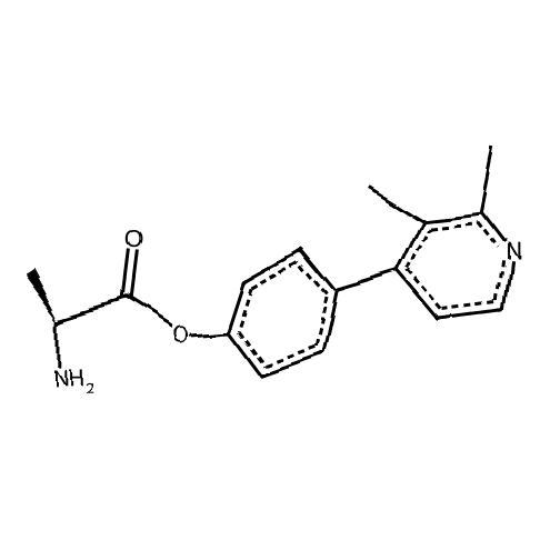 Cc1nccc(-c2ccc(OC(=O)[C@H](C)N)cc2)c1C